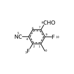 Cc1c(F)c(C#N)cc(C=O)c1F